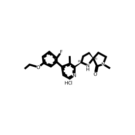 CCOc1ccc(F)c(-c2ccnc([C@H]3CC[C@]4(CCN(C)C4=O)N3)c2C)c1.Cl